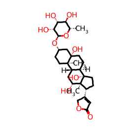 C[C@@H]1O[C@@H](O[C@H]2CC[C@]3(C)[C@H]4C[C@@H](O)[C@]5(C)[C@@H](C6=CC(=O)OC6)CC[C@]5(O)[C@@H]4CC[C@]3(O)C2)[C@H](O)[C@H](O)[C@H]1O